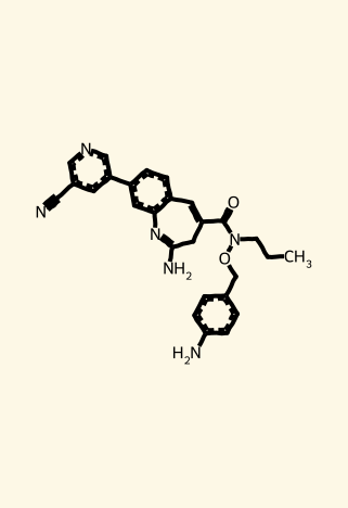 CCCN(OCc1ccc(N)cc1)C(=O)C1=Cc2ccc(-c3cncc(C#N)c3)cc2N=C(N)C1